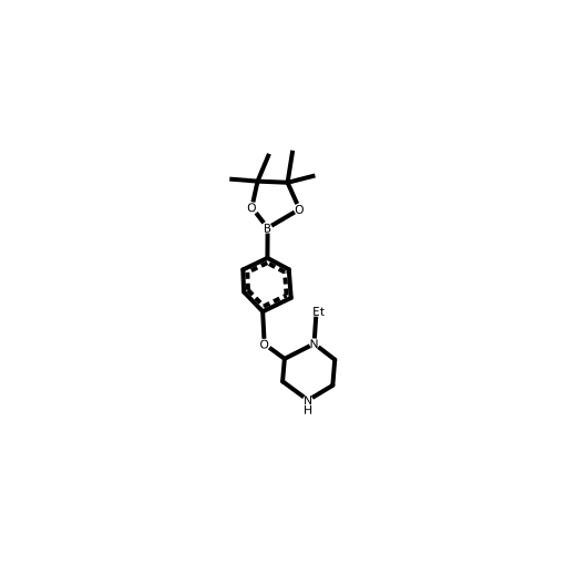 CCN1CCNCC1Oc1ccc(B2OC(C)(C)C(C)(C)O2)cc1